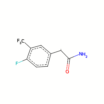 NC(=O)[CH]c1ccc(F)c(C(F)(F)F)c1